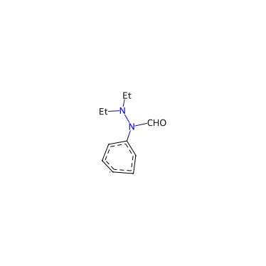 CCN(CC)N(C=O)c1cc[c]cc1